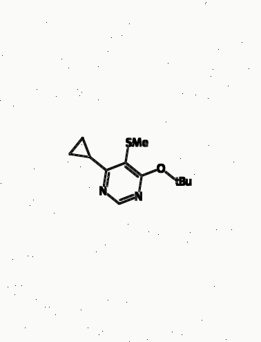 CSc1c(OC(C)(C)C)ncnc1C1CC1